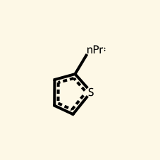 CC[C]c1cccs1